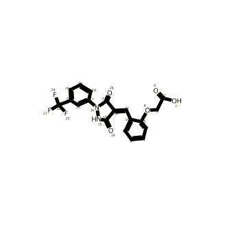 O=C(O)COc1ccccc1C=C1C(=O)NN(c2cccc(C(F)(F)F)c2)C1=O